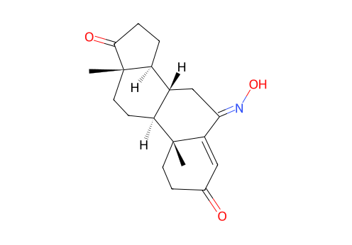 C[C@]12CCC(=O)C=C1C(=NO)C[C@@H]1[C@@H]2CC[C@]2(C)C(=O)CC[C@@H]12